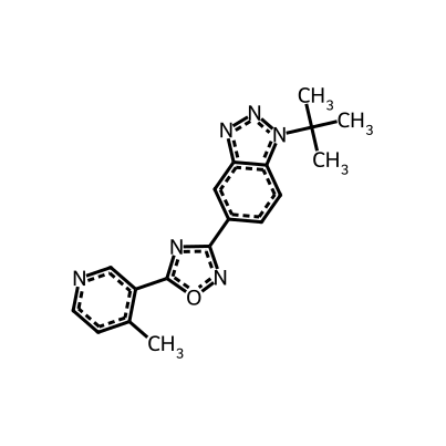 Cc1ccncc1-c1nc(-c2ccc3c(c2)nnn3C(C)(C)C)no1